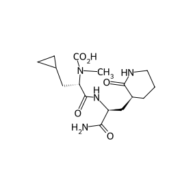 CN(C(=O)O)[C@@H](CC1CC1)C(=O)N[C@@H](C[C@@H]1CCCNC1=O)C(N)=O